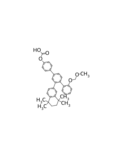 COCOc1ccccc1-c1ccc(-c2ccc(OC(=O)O)cc2)cc1-c1ccc2c(c1)C(C)(C)CCC2(C)C